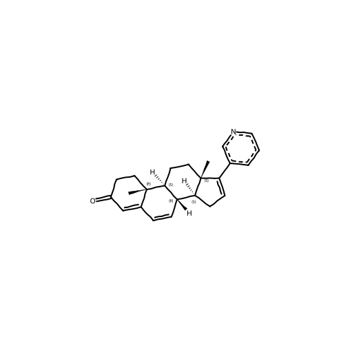 C[C@]12CCC(=O)C=C1C=C[C@@H]1[C@@H]2CC[C@]2(C)C(c3cccnc3)=CC[C@@H]12